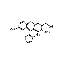 COc1ccc2nc3cc(CO)c(OC)c(Nc4ccccc4)c3cc2c1